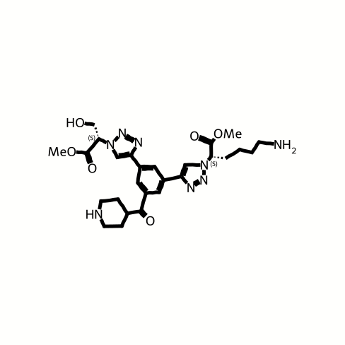 COC(=O)[C@H](CO)n1cc(-c2cc(C(=O)C3CCNCC3)cc(-c3cn([C@@H](CCCCN)C(=O)OC)nn3)c2)nn1